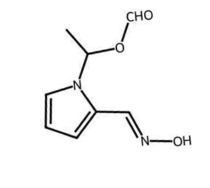 CC(OC=O)n1cccc1C=NO